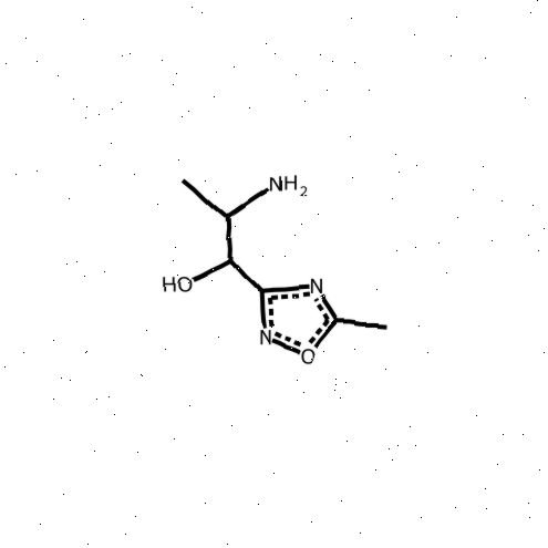 Cc1nc(C(O)C(C)N)no1